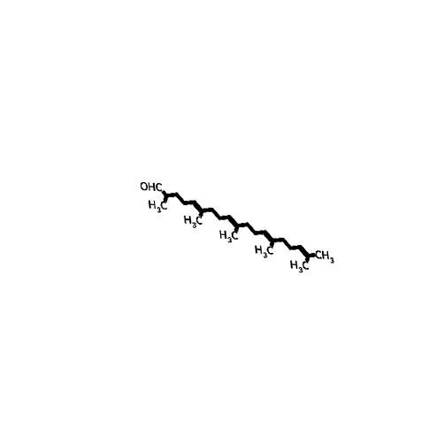 CC(C)=CCC/C(C)=C/CC/C(C)=C/CC/C(C)=C/CCC(C)C=O